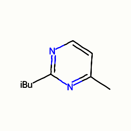 CCC(C)c1nccc(C)n1